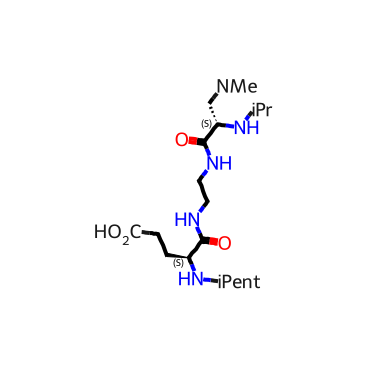 CCCC(C)N[C@@H](CCC(=O)O)C(=O)NCCNC(=O)[C@H](CNC)NC(C)C